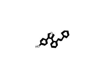 Oc1ccc(-c2cocc2-c2ccccc2/C=C/c2ccccc2)cc1